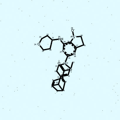 COC(=O)C1=CC2CC(=C1)C2C1=CCN(c2nc3c(c(NC4CCOCC4)n2)[S+]([O-])CC3)CC1